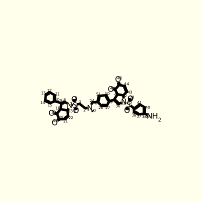 CN(CCS(=O)(=O)N1C=C(c2ccccc2)C2C(=O)C(=O)C=CC21)Cc1ccc(C2=CN(S(=O)(=O)c3ccc(N)cc3)C3C=CC(=O)C(=O)C23)cc1